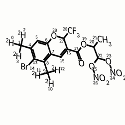 [2H]C([2H])([2H])c1cc2c(c(C([2H])([2H])[2H])c1Br)C=C(C(=O)OC(C)C(O[N+](=O)[O-])O[N+](=O)[O-])C(C(F)(F)F)O2